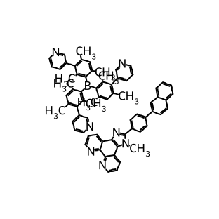 Cc1cc(C)c(-c2cccnc2)c(C)c1B(c1c(C)cc(C)c(-c2cccnc2)c1C)c1c(C)cc(C)c(-c2cccnc2)c1C.Cn1c(-c2ccc(-c3ccc4ccccc4c3)cc2)nc2c3cccnc3c3ncccc3c21